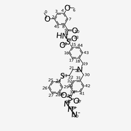 COc1cc(OC)cc(C(=O)NS(=O)(=O)c2ccc(CN(CCSc3ccccc3)Cc3ccc(S(=O)(=O)N=[N+]=[N-])cc3)cc2)c1